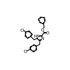 O=C(OCc1ccccc1)c1nc(Cc2ccc(Cl)cc2)c(Cc2ccc(Cl)cc2)[nH]1